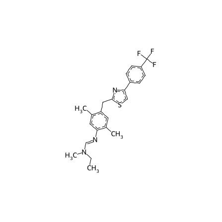 CCN(C)C=Nc1cc(C)c(Cc2nc(-c3ccc(C(F)(F)F)cc3)cs2)cc1C